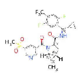 C[C@H]1[C@H]2C[C@H](C(=O)N[C@@H](c3cc(F)c(C(F)(F)F)cc3F)C3CC3)N(C(=O)c3cncc(S(C)(=O)=O)c3)[C@@H]12